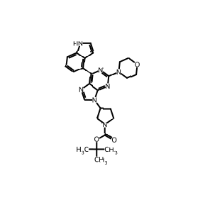 CC(C)(C)OC(=O)N1CCC(n2cnc3c(-c4cccc5[nH]ccc45)nc(N4CCOCC4)nc32)C1